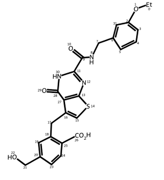 CCOc1cccc(CNC(=O)c2nc3scc(Cc4cc(CO)ccc4C(=O)O)c3c(=O)[nH]2)c1